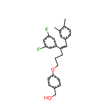 Cc1ccc(C=C(CCCOc2ccc(CO)cc2)c2cc(F)cc(F)c2)cc1C